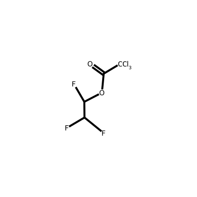 O=C(OC(F)C(F)F)C(Cl)(Cl)Cl